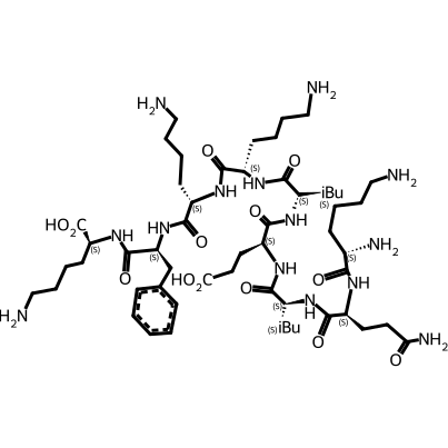 CC[C@H](C)[C@H](NC(=O)[C@H](CCC(=O)O)NC(=O)[C@@H](NC(=O)[C@H](CCC(N)=O)NC(=O)[C@@H](N)CCCCN)[C@@H](C)CC)C(=O)N[C@@H](CCCCN)C(=O)N[C@@H](CCCCN)C(=O)N[C@@H](Cc1ccccc1)C(=O)N[C@@H](CCCCN)C(=O)O